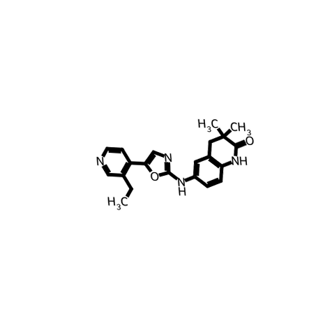 CCc1cnccc1-c1cnc(Nc2ccc3c(c2)CC(C)(C)C(=O)N3)o1